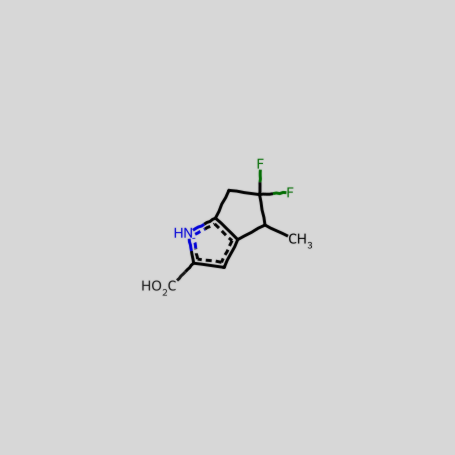 CC1c2cc(C(=O)O)[nH]c2CC1(F)F